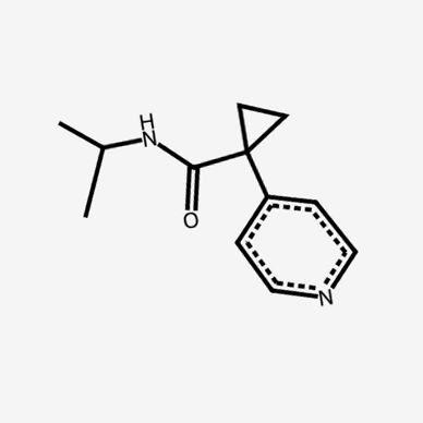 CC(C)NC(=O)C1(c2ccncc2)CC1